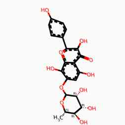 C[C@@H]1OC(Oc2cc(O)c3c(=O)c(O)c(-c4ccc(O)cc4)oc3c2O)[C@H](O)[C@H](O)[C@H]1O